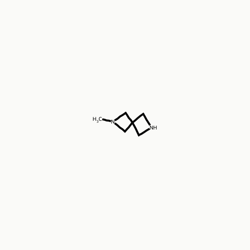 CN1CC2([CH]NC2)C1